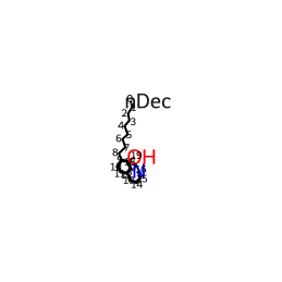 CCCCCCCCCCCCCCCCCCc1ccc2cccnc2c1O